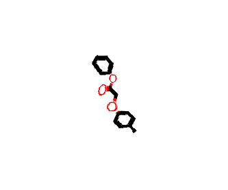 Cc1ccc(OCC(=O)Oc2ccccc2)cc1